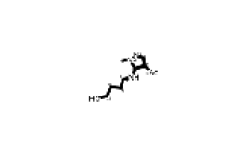 CC(=O)c1cnn(C)c1NCCCCO